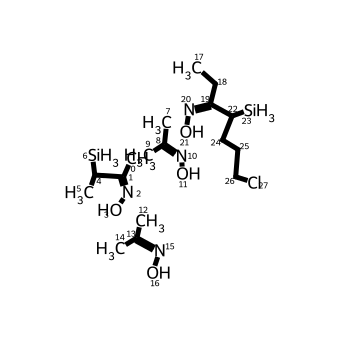 CC(=NO)C(C)[SiH3].CC(C)=NO.CC(C)=NO.CCC(=NO)C([SiH3])CCCCl